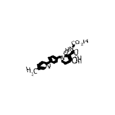 Cc1ccc(-c2ccc(CN3CCC(O)=C(C(=O)NCC(=O)O)C3=O)cc2)nc1